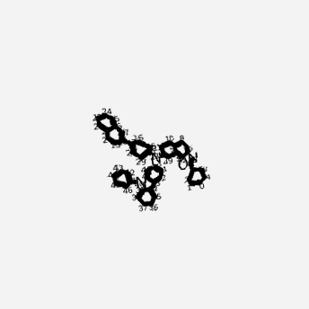 c1ccc(-c2nc3ccc4ccc(N(c5ccc(-c6ccc7ccccc7c6)cc5)c5ccc6c7ccccc7n(-c7ccccc7)c6c5)cc4c3o2)cc1